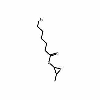 CC1OC1OC(=O)CCCCCC(C)(C)C